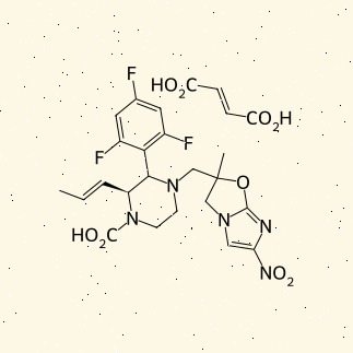 CC=C[C@H]1C(c2c(F)cc(F)cc2F)N(CC2(C)Cn3cc([N+](=O)[O-])nc3O2)CCN1C(=O)O.O=C(O)C=CC(=O)O